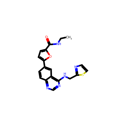 CCNC(=O)c1ccc(-c2ccc3ncnc(NCc4nccs4)c3c2)o1